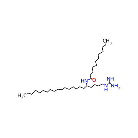 CCCCCCCCCCCCCCCCCC(CCCCNC(=N)N)NC(=O)CCCCCCCCCCC